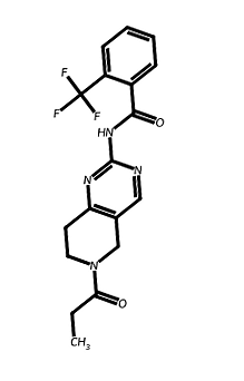 CCC(=O)N1CCc2nc(NC(=O)c3ccccc3C(F)(F)F)ncc2C1